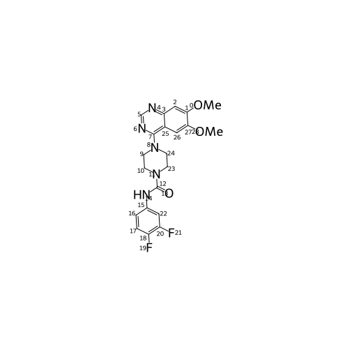 COc1cc2ncnc(N3CCN(C(=O)Nc4ccc(F)c(F)c4)CC3)c2cc1OC